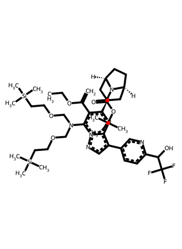 C=C(OCC)c1c([C@H]2C[C@H]3CC[C@@H](C2)N3C(=O)OC(C)(C)C)nc2c(-c3ccc(C(O)C(F)(F)F)nc3)cnn2c1N(COCC[Si](C)(C)C)COCC[Si](C)(C)C